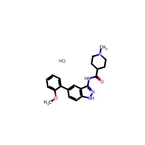 COc1ccccc1-c1ccc2[nH]nc(NC(=O)C3CCN(C)CC3)c2c1.Cl